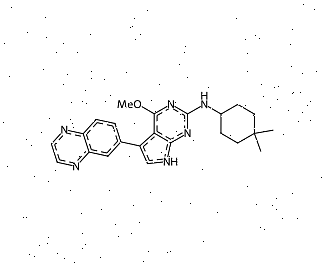 COc1nc(NC2CCC(C)(C)CC2)nc2[nH]cc(-c3ccc4nccnc4c3)c12